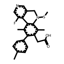 CSN1Cc2cncc(F)c2-c2c(C)c(-c3ccc(C)cc3)c(CC(=O)O)c(C)c21